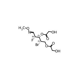 CON=C[C@@H](F)[C@H](OC(=O)CO)[C@@H](Br)COC(=O)CO